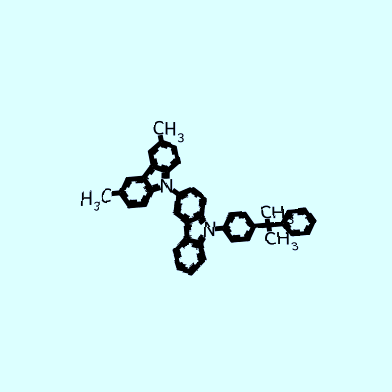 Cc1ccc2c(c1)c1cc(C)ccc1n2-c1ccc2c(c1)c1ccccc1n2-c1ccc(C(C)(C)c2ccccc2)cc1